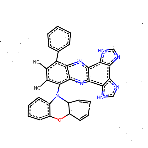 N#Cc1c(C#N)c(N2c3ccccc3OC3C=CC=CC32)c2nc3c(nc2c1-c1ccccc1)c1[nH]cnc1c1nc[nH]c13